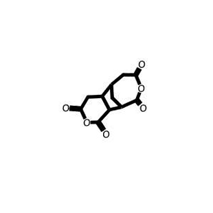 O=C1CC2CC(C(=O)O1)C1C(=O)OC(=O)CC21